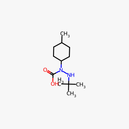 CC1CCC(N(NC(C)(C)C)C(=O)O)CC1